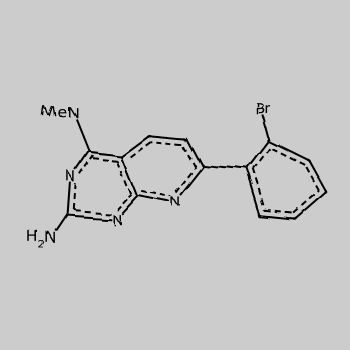 CNc1nc(N)nc2nc(-c3ccccc3Br)ccc12